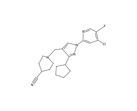 N#CC1CCN(Cc2cn(-c3cc(Cl)c(F)cn3)nc2C2CCCC2)CC1